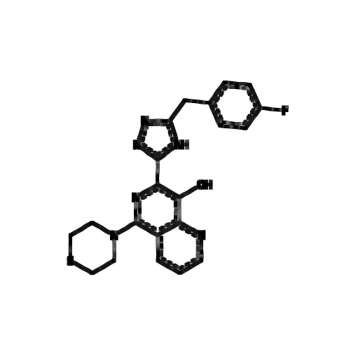 Oc1c(-c2nnc(Cc3ccc(F)cc3)[nH]2)nc(N2CCSCC2)c2cccnc12